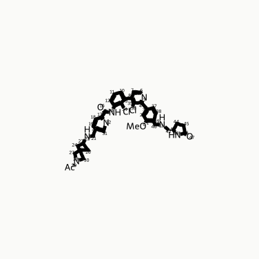 COc1cc(-c2nccc(-c3cccc(NC(=O)c4ccc(CNC5CC6(C5)CN(C(C)=O)C6)cn4)c3Cl)c2Cl)ccc1CNC[C@@H]1CCC(=O)N1